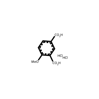 COc1ccc(C(=O)O)cc1C(=O)O.Cl.Cl